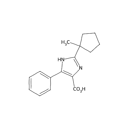 CC1(c2nc(C(=O)O)c(-c3ccccc3)[nH]2)CCCC1